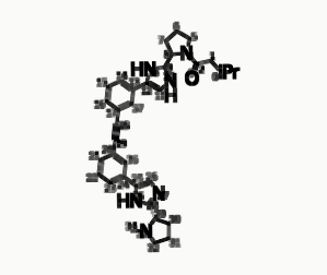 CC(C)CC(=O)N1CCCC1C1NC=C(c2cccc(C#Cc3cccc(-c4cnc([C@@H]5CCCN5C)[nH]4)c3)c2)N1